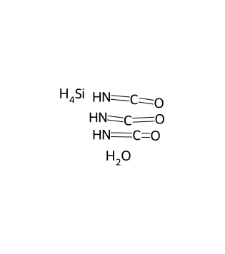 N=C=O.N=C=O.N=C=O.O.[SiH4]